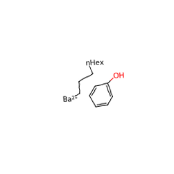 CCCCCCCC[CH2][Ba+2].Oc1ccccc1